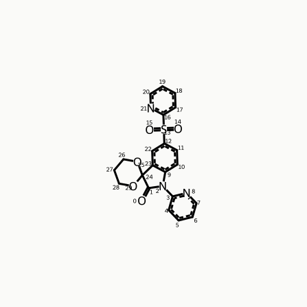 O=C1N(c2ccccn2)c2ccc(S(=O)(=O)c3ccccn3)cc2C12OCCCO2